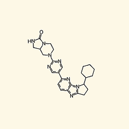 O=C1NCC2CN(c3ncc(-c4ccc5nc6n(c5n4)C(C4CCCCC4)CC6)cn3)CCN12